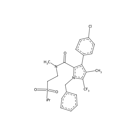 Cc1c(-c2ccc(Cl)cc2)c(C(=O)N(C)CCS(=O)(=O)C(C)C)n(Cc2ccccc2)c1C(F)(F)F